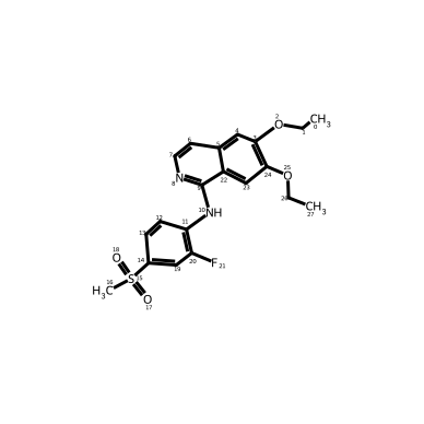 CCOc1cc2ccnc(Nc3ccc(S(C)(=O)=O)cc3F)c2cc1OCC